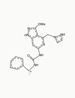 COc1n[nH]c2cc(NC(=O)N[C@H](C)c3ccccc3)nc(Cn3cc[nH]3)c12